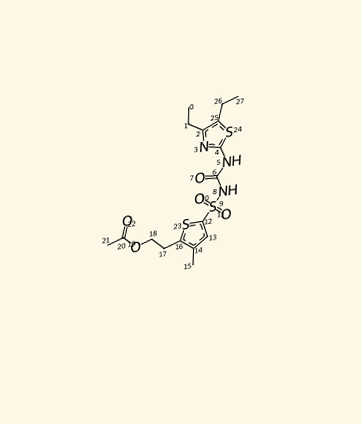 CCc1nc(NC(=O)NS(=O)(=O)c2cc(C)c(CCOC(C)=O)s2)sc1CC